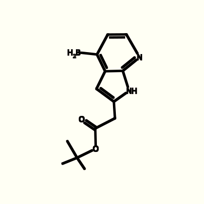 Bc1ccnc2[nH]c(CC(=O)OC(C)(C)C)cc12